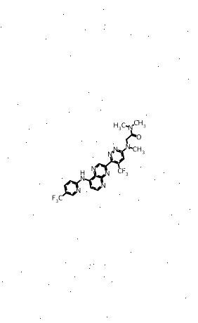 CN(C)C(=O)CN(C)c1cc(C(F)(F)F)c(-c2cnc3c(Nc4ccc(C(F)(F)F)cn4)ccnc3n2)nn1